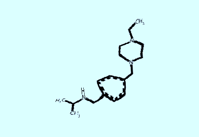 CCN1CCN(Cc2ccc(CNC(C)C)cc2)CC1